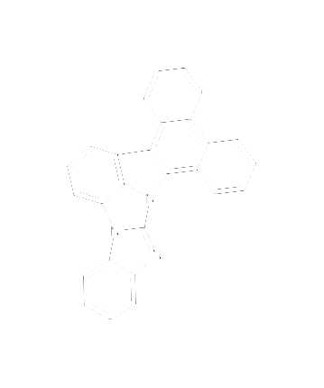 c1ccc2c(c1)nc1n2c2cccc3c4c5ccccc5c5ccccc5c4n1c32